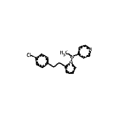 CN(c1ccncc1)n1cccc1CCc1ccc(Cl)cc1